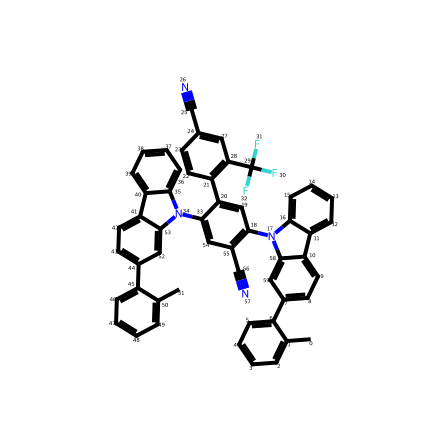 Cc1ccccc1-c1ccc2c3ccccc3n(-c3cc(-c4ccc(C#N)cc4C(F)(F)F)c(-n4c5ccccc5c5ccc(-c6ccccc6C)cc54)cc3C#N)c2c1